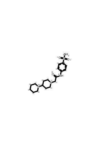 NS(=O)(=O)c1ccc(NC(=O)CN2CCC(N3CCCCC3)CC2)cc1